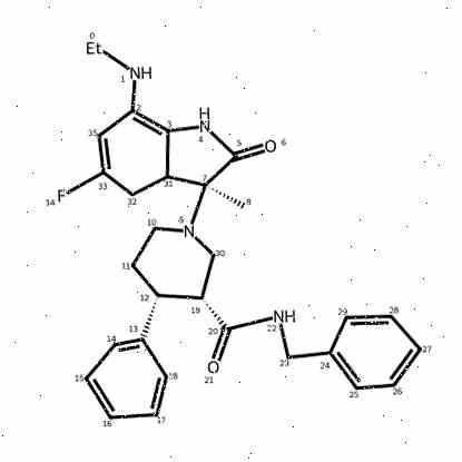 CCNC1=C2NC(=O)[C@@](C)(N3CC[C@@H](c4ccccc4)[C@@H](C(=O)NCc4ccccc4)C3)C2CC(F)=C1